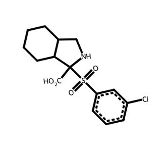 O=C(O)C1(S(=O)(=O)c2cccc(Cl)c2)NCC2CCCCC21